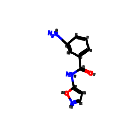 Nc1cccc(C(=O)Nc2ccno2)c1